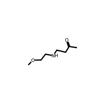 COCCNCCC(C)=O